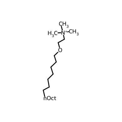 CCCCCCCCCCCCCCCOCC[N+](C)(C)C